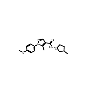 COc1ccc(-n2ncc(C(=O)N[C@@H]3CCN(C)C3)c2C)cc1